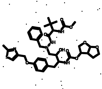 COC(=O)NC(C(=O)NN(Cc1ccccc1)CC(O)C(Cc1ccc(OCc2csc(C)n2)cc1)NC(=O)OC1COC2OCCC12)C(C)(C)C